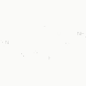 NCC(=O)Oc1cc(F)c(Oc2ccc([N+](=O)[O-])cn2)cc1F